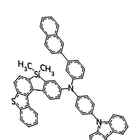 C[Si]1(C)c2cc(N(c3ccc(-n4c5ccccc5c5ccccc54)cc3)c3cccc(-c4ccc5ccccc5c4)c3)ccc2-c2c1ccc1sc3ccccc3c21